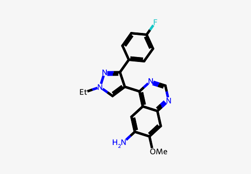 CCn1cc(-c2ncnc3cc(OC)c(N)cc23)c(-c2ccc(F)cc2)n1